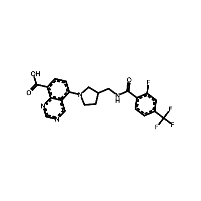 O=C(NCC1CCN(c2ccc(C(=O)O)c3ncncc23)C1)c1ccc(C(F)(F)F)cc1F